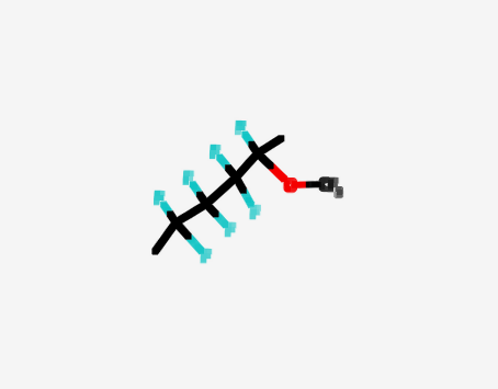 CC(F)(F)C(F)(F)C(F)(F)C(C)(F)OC(F)(F)F